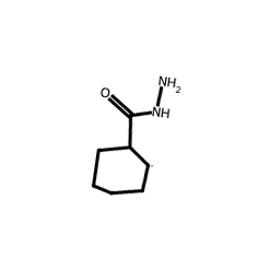 NNC(=O)C1[CH]CCCC1